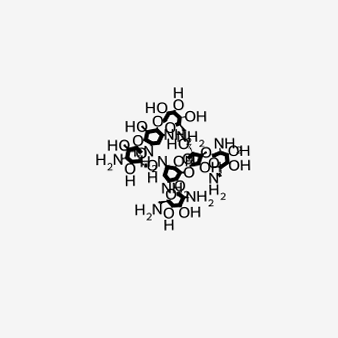 NC[C@@H]1O[C@H](O[C@H]2[C@@H](O)[C@H](O[C@@H]3[C@@H](O)[C@H](N)C[C@H](N)[C@H]3O[C@H]3O[C@H](CN)[C@@H](O)[C@H](O)[C@H]3N)O[C@@H]2CO)[C@H](N)[C@@H](O)[C@@H]1O.NC[C@H]1O[C@H](O[C@H]2[C@H](O)[C@@H](O[C@H]3O[C@H](CO)[C@@H](O)[C@H](N)[C@H]3O)[C@H](N)C[C@@H]2N)[C@H](O)[C@@H](O)[C@@H]1O